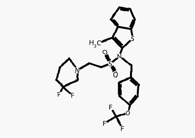 Cc1c(N(Cc2ccc(OC(F)(F)F)cc2)S(=O)(=O)CCN2CCCC(F)(F)C2)sc2ccccc12